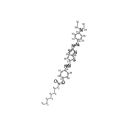 CCCCCCCCC(=O)Oc1ccc(N=Nc2cc3sc(N=Nc4ccc(N(CC)CC)cc4)nc3s2)cc1